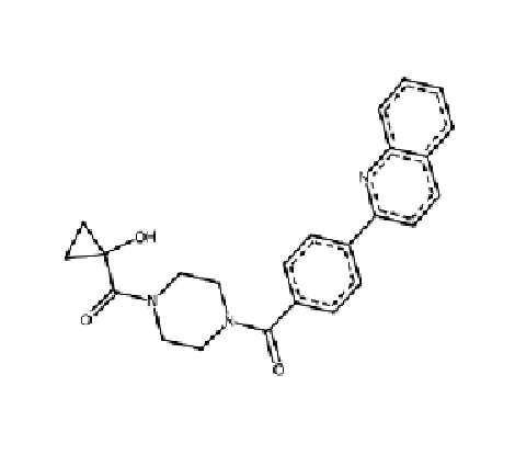 O=C(c1ccc(-c2ccc3ccccc3n2)cc1)N1CCN(C(=O)C2(O)CC2)CC1